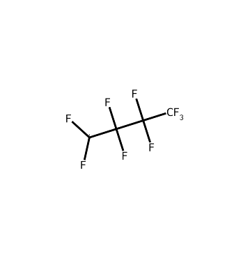 F[C](F)C(F)(F)C(F)(F)C(F)(F)F